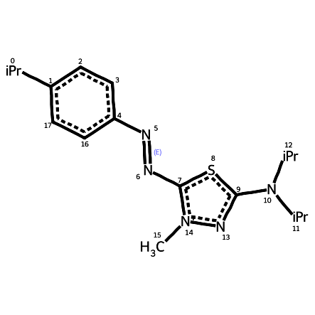 CC(C)c1ccc(/N=N/c2sc(N(C(C)C)C(C)C)n[n+]2C)cc1